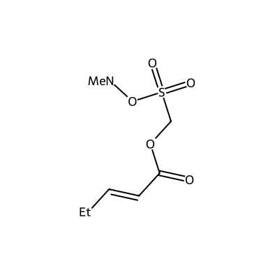 CCC=CC(=O)OCS(=O)(=O)ONC